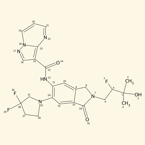 CC(C)(O)C(F)CN1Cc2cc(NC(=O)c3cnn4cccnc34)c(N3CCC(F)(F)C3)cc2C1=O